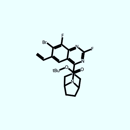 C=Cc1cc2c(N3CC4CCC(C3)N4C(=O)OC(C)(C)C)nc(F)nc2c(F)c1Br